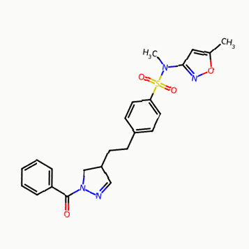 Cc1cc(N(C)S(=O)(=O)c2ccc(CCC3C=NN(C(=O)c4ccccc4)C3)cc2)no1